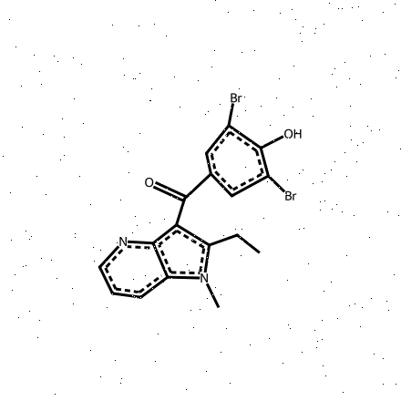 CCc1c(C(=O)c2cc(Br)c(O)c(Br)c2)c2ncccc2n1C